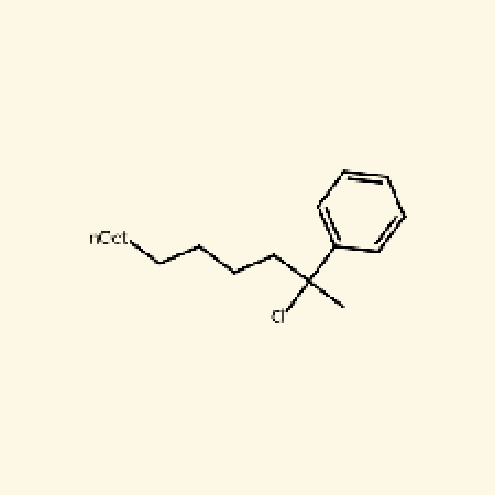 CCCCCCCCCCCCC(C)(Cl)c1ccccc1